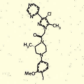 COc1cc(N2CCN(C(=O)Cn3nc(-c4ccncn4)c(Cl)c3C)[C@@H](C)C2)ccc1I